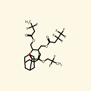 CC(F)(F)COC(=O)C12CC3CC(C1)C1(SCC(COC(=O)CC(F)(F)C(F)(F)F)C(COC(=O)CC(C)(F)F)S1)C(C3)C2